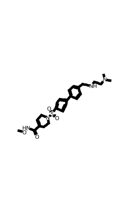 CONC(=O)C1=CCN(S(=O)(=O)c2ccc(-c3ccc(CNCCN(C)C)cc3)cc2)CC1